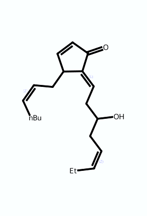 CC/C=C\CC(O)C/C=C1/C(=O)C=CC1C/C=C\CCCC